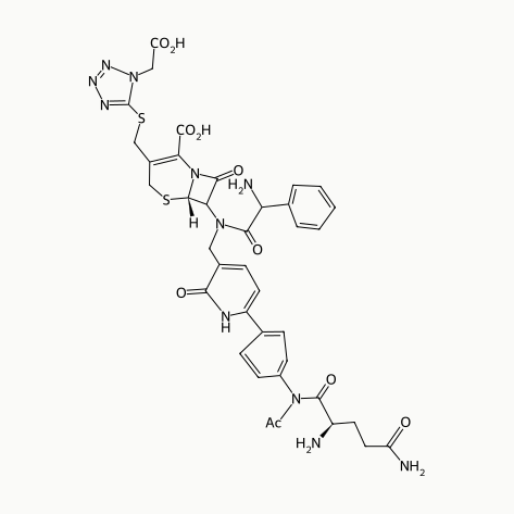 CC(=O)N(C(=O)[C@H](N)CCC(N)=O)c1ccc(-c2ccc(CN(C(=O)C(N)c3ccccc3)C3C(=O)N4C(C(=O)O)=C(CSc5nnnn5CC(=O)O)CS[C@@H]34)c(=O)[nH]2)cc1